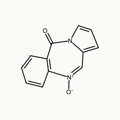 O=c1c2[c]cccc2[n+]([O-])cc2cccn12